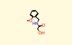 COc1ccccc1CNC(=O)CO